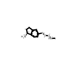 CNOOSc1ccc2c(c1)CC[C@@H]2N